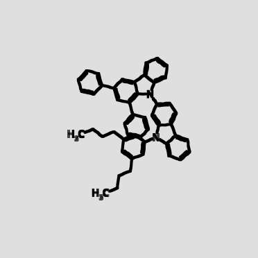 CCCCc1cc(CCCC)cc(-n2c3ccccc3c3ccc(-n4c5ccccc5c5cc(-c6ccccc6)cc(-c6ccccc6)c54)cc32)c1